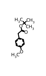 COc1ccc(CC(=O)OC(C)(C)C)cc1